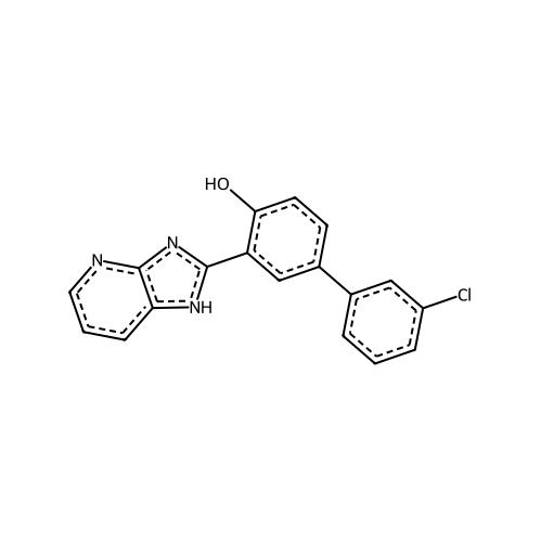 Oc1ccc(-c2cccc(Cl)c2)cc1-c1nc2ncccc2[nH]1